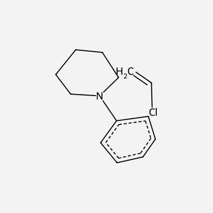 C=CCl.c1ccc(N2CCCCC2)cc1